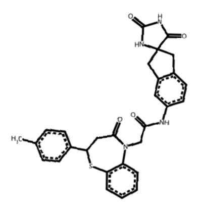 Cc1ccc(C2CC(=O)N(CC(=O)Nc3ccc4c(c3)CC3(C4)NC(=O)NC3=O)c3ccccc3S2)cc1